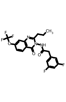 CCCc1nc2cc(OC(F)(F)F)ccc2c(=O)n1NC(=O)Cc1cc(F)cc(F)c1